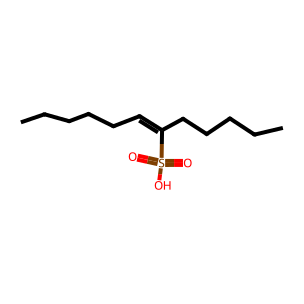 CCCCC/C=C(/CCCCC)S(=O)(=O)O